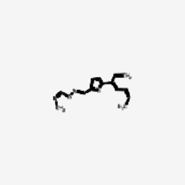 C=C/C(=C\C=C/C)c1ccc(/C=N/O/C=N\C)s1